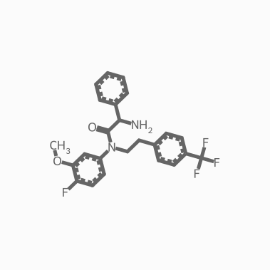 COc1cc(N(CCc2ccc(C(F)(F)F)cc2)C(=O)C(N)c2ccccc2)ccc1F